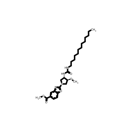 CCCCCCCCCCCCCNC(=O)N[C@H]1CN(c2nc3cc(C(=O)OC)ccc3o2)C[C@@H]1OC